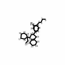 CCCCc1ccc(C(CCC2(CC)CCCCC2)CC2=CCCCC2)cc1F